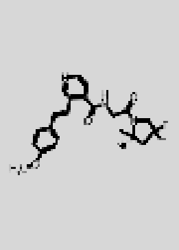 C[C@@]1(C#N)CC(F)(F)CN1C(=O)CNC(=O)c1ccncc1/C=C/c1ccc(OC(F)(F)F)cc1